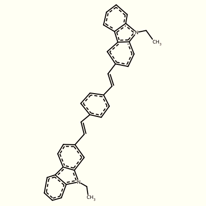 CCn1c2ccccc2c2cc(/C=C/c3ccc(/C=C/c4ccc5c6ccccc6n(CC)c5c4)cc3)ccc21